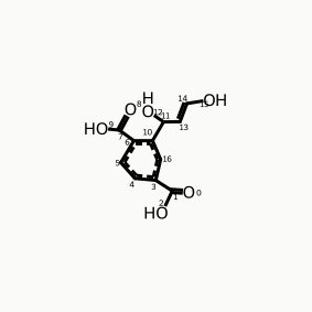 O=C(O)c1ccc(C(=O)O)c(C(O)C=CO)c1